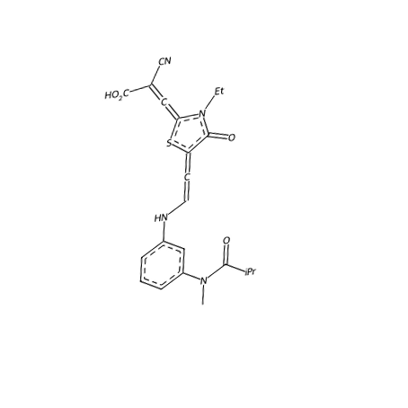 CCn1c(=C=C(C#N)C(=O)O)sc(=C=CNc2cccc(N(C)C(=O)C(C)C)c2)c1=O